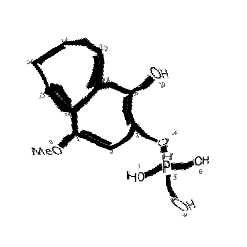 COc1cc(O[PH](O)(O)O)c(O)c2ccccc12